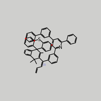 C=C/C=C(\C1=C(C)C2(c3ccccc3Sc3ccccc32)c2ccccc2C1(C)C)c1cccc(-c2nc(-c3ccccc3)cc(-c3cccc(-c4ccccc4)c3)n2)c1